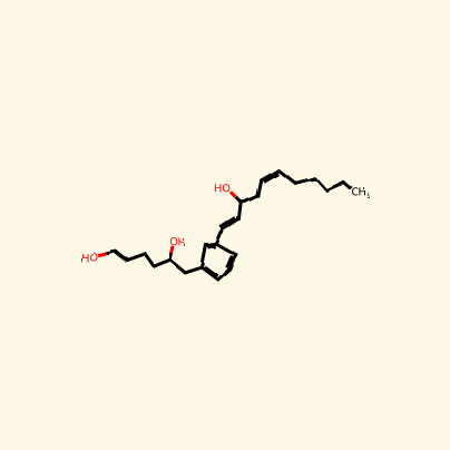 CCCCC/C=C\CC(O)/C=C/c1cccc(CC(O)CCCCO)c1